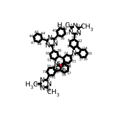 Cc1nc(C)nc(-c2ccc3c(c2)c2ccccc2n3-c2ccc(C(F)(F)F)c(-c3cc(-c4nc(-c5ccccc5)nc(-c5ccccc5)n4)ccc3-n3c4ccccc4c4cc(-c5nc(C)nc(C)n5)ccc43)c2)n1